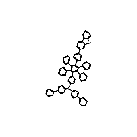 c1ccc(-c2ccc(N(c3ccc(-c4ccccc4)cc3)c3ccc(-c4c(-c5ccccc5)c(-c5ccccc5)c(-c5ccc(-c6ccc7c(c6)oc6ccccc67)cc5)c(-c5ccccc5)c4-c4ccccc4)cc3)cc2)cc1